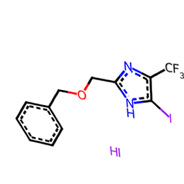 FC(F)(F)c1nc(COCc2ccccc2)[nH]c1I.I